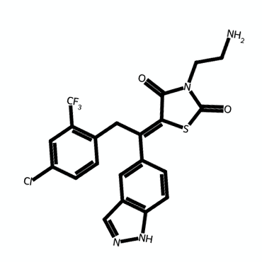 NCCN1C(=O)S/C(=C(/Cc2ccc(Cl)cc2C(F)(F)F)c2ccc3[nH]ncc3c2)C1=O